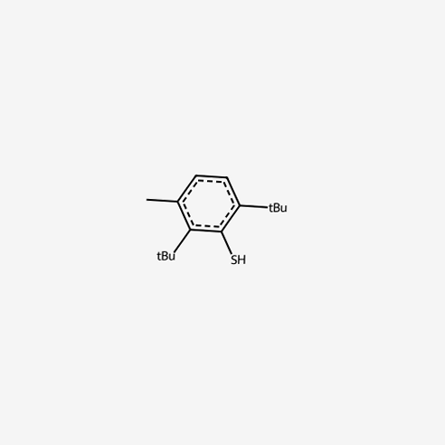 Cc1ccc(C(C)(C)C)c(S)c1C(C)(C)C